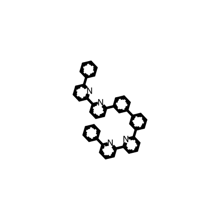 c1ccc(-c2cccc(-c3cccc(-c4cccc(-c5cccc(-c6cccc(-c7cccc(-c8ccccc8)n7)n6)c5)c4)n3)n2)cc1